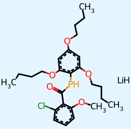 CCCCOc1cc(OCCCC)c(PC(=O)c2c(Cl)cccc2OC)c(OCCCC)c1.[LiH]